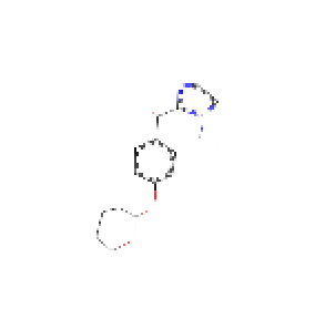 Cn1ccnc1[C@H](O)c1ccc(OC2CCCCO2)cc1